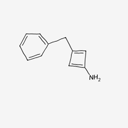 NC1=CC(Cc2ccccc2)=C1